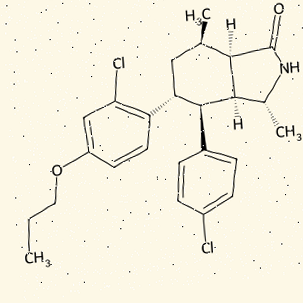 CCCOc1ccc([C@@H]2C[C@@H](C)[C@H]3C(=O)N[C@H](C)[C@H]3[C@H]2c2ccc(Cl)cc2)c(Cl)c1